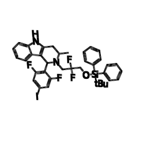 CC1Cc2[nH]c3ccccc3c2C(c2c(F)cc(I)cc2F)N1CC(F)(F)CO[Si](c1ccccc1)(c1ccccc1)C(C)(C)C